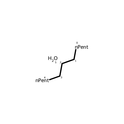 CCCCCCCCCCCCC.O